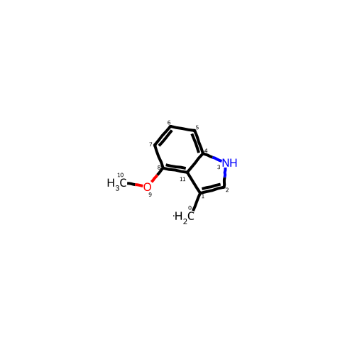 [CH2]c1c[nH]c2cccc(OC)c12